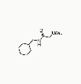 COCC(=O)NCC1CCCCC1